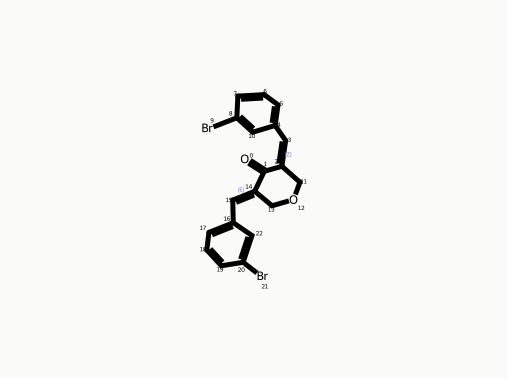 O=C1/C(=C\c2cccc(Br)c2)COC/C1=C\c1cccc(Br)c1